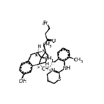 CC(C)CCC(=O)CCC1(C)[C@H]2Cc3ccc(O)cc3[C@]1(C)CCN2C.Cc1cccc(C)c1NC1=NCCCS1